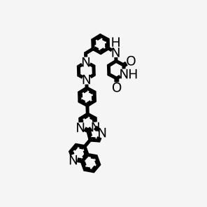 O=C1CCC(Nc2cccc(CN3CCN(c4ccc(-c5cnc6c(-c7ccnc8ccccc78)cnn6c5)cc4)CC3)c2)C(=O)N1